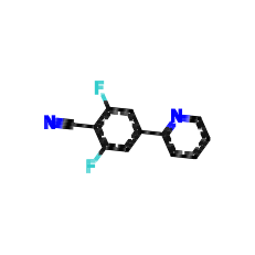 N#Cc1c(F)cc(-c2ccccn2)cc1F